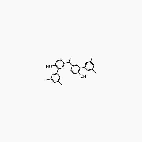 Cc1cc(C)cc(-c2cc(C(C)c3ccc(O)c(-c4cc(C)cc(C)c4)c3)ccc2O)c1